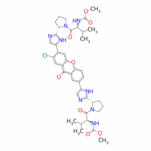 COC(=O)N[C@H](C(=O)N1CCC[C@H]1c1ncc(-c2ccc3oc4cc(-c5cnc([C@@H]6CCCN6C(=O)[C@@H](NC(=O)OC)C(C)C)[nH]5)c(Cl)cc4c(=O)c3c2)[nH]1)C(C)C